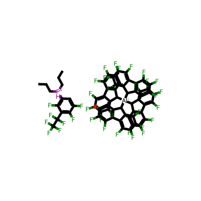 CCC[PH+](CCC)c1cc(F)c(F)c(C(F)(F)C(F)(F)F)c1F.Fc1cc2c(c(F)c1F)-c1c(F)c(F)c(F)c(F)c1[CH]2[Al-]([CH]1c2cc(F)c(F)c(F)c2-c2c(F)c(F)c(F)c(F)c21)([CH]1c2cc(F)c(F)c(F)c2-c2c(F)c(F)c(F)c(F)c21)[CH]1c2cc(F)c(F)c(F)c2-c2c(F)c(F)c(F)c(F)c21